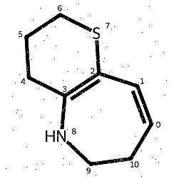 C1=CC2=C(CCCS2)NCC1